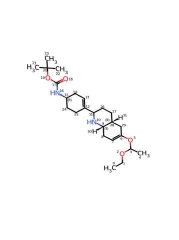 CCOC(C)OC1=CC[C@@H]2NC(C3=CC[C@H](NC(=O)OC(C)(C)C)CC3)CC[C@@H]2C1